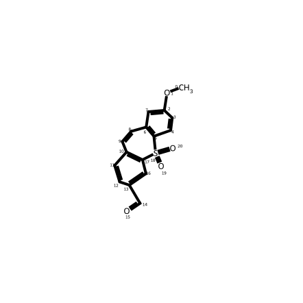 COc1ccc2c(c1)C=Cc1ccc(C=O)cc1S2(=O)=O